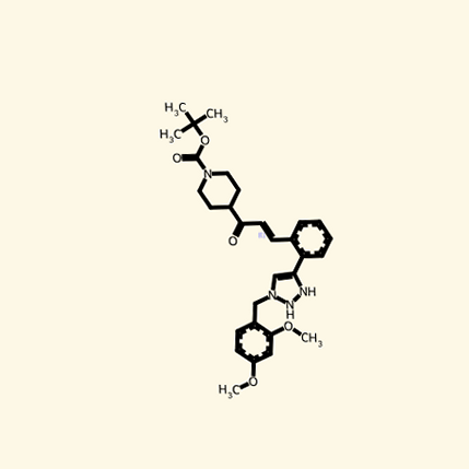 COc1ccc(CN2C=C(c3ccccc3/C=C/C(=O)C3CCN(C(=O)OC(C)(C)C)CC3)NN2)c(OC)c1